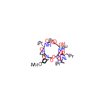 CC[C@H](C)[C@H]1NC(=O)[C@@H](NC(=O)[C@@H](CC(C)C)N(C)C(=O)C(C)C(C)C)[C@@H](C)OC(=O)[C@H](Cc2ccc(OC)cc2)N(C)C(=O)[C@@H]2CCCN2C(=O)[C@H](CC(C)C)NC(=O)[C@H](C(C)C)OC(=O)C[C@@H]1O